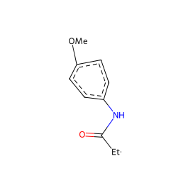 C[CH]C(=O)Nc1ccc(OC)cc1